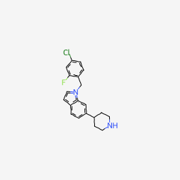 Fc1cc(Cl)ccc1Cn1ccc2ccc(C3CCNCC3)cc21